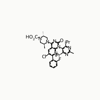 Cc1nc(C(C)C)c(-n2c(=O)nc(N3C[C@@H](C)N(C(=O)O)C[C@@H]3C)c3cc(Cl)c(-c4ccccc4F)nc32)c(C(C)C)n1